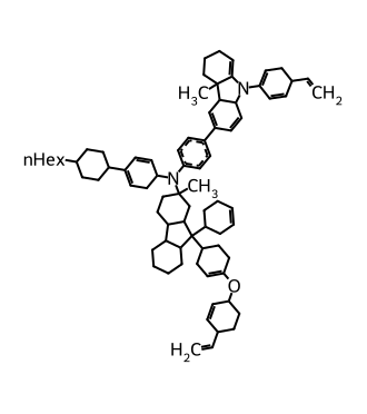 C=CC1C=CC(N2C3=CCCCC3(C)C3C=C(c4ccc(N(C5C=CC(C6CCC(CCCCCC)CC6)=CC5)C5(C)CCC6C7CCCCC7C(C7CC=CCC7)(C7CC=C(OC8C=CC(C=C)CC8)CC7)C6C5)cc4)C=CC32)=CC1